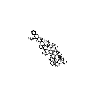 CC[C@H](C)[C@@H]([C@@H](CC(=O)N1CCC[C@H]1[C@H](OC)[C@@H](C)C(=O)N[C@@H](Cc1ccccc1)C(=O)OC)OC)N(C)C(=O)[C@@H](NC(=O)[C@@H]1[C@H]2CC[C@H](C2)N1C(=O)OC(C)(C)C)C(C)C